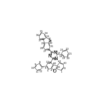 C1=CC2Oc3cc(-c4ccccc4)cc(-c4nc(-c5ccccc5)nc(-c5ccc6c(c5)sc5ccccc56)n4)c3C2C=C1